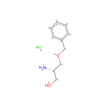 Cl.N[C@@H](CO)COCc1ccccc1